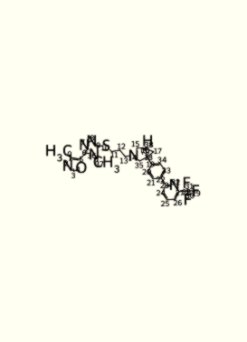 Cc1ncoc1-c1nnc(SCCCN2C[C@H]3CC3(c3ccc(-c4cccc(C(F)(F)F)n4)cc3)C2)n1C